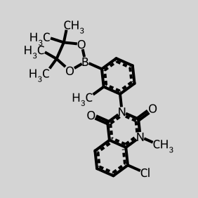 Cc1c(B2OC(C)(C)C(C)(C)O2)cccc1-n1c(=O)c2cccc(Cl)c2n(C)c1=O